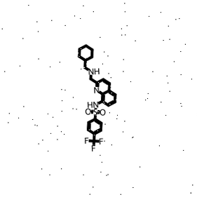 O=S(=O)(Nc1cccc2ccc(CNCC3CCCCC3)nc12)c1ccc(C(F)(F)F)cc1